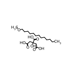 CCCCCCCCCCCCCOC.O=C(O)CC(O)(CC(=O)O)C(=O)O